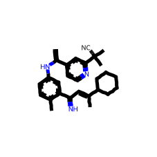 C=C(Nc1ccc(C)c(C(=N)/C=C(\C)C2CCCCC2)c1)c1ccnc(C(C)(C)C#N)c1